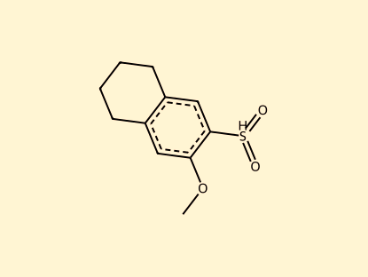 COc1cc2c(cc1[SH](=O)=O)CCCC2